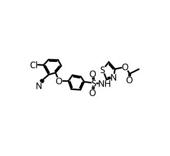 CC(=O)Oc1csc(NS(=O)(=O)c2ccc(Oc3cccc(Cl)c3C#N)cc2)n1